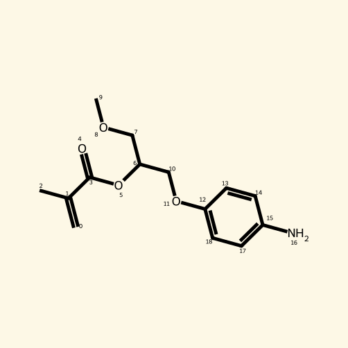 C=C(C)C(=O)OC(COC)COc1ccc(N)cc1